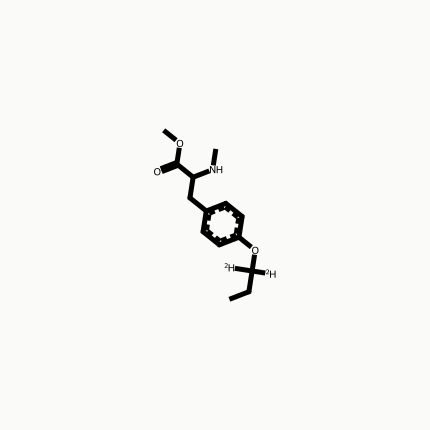 [2H]C([2H])(CC)Oc1ccc(CC(NC)C(=O)OC)cc1